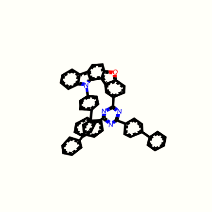 c1ccc(-c2ccc(-c3nc(-c4ccccc4)nc(-c4ccc5oc6ccc7c8ccccc8n(-c8ccc(-c9cccc(-c%10ccccc%10)c9)cc8)c7c6c5c4)n3)cc2)cc1